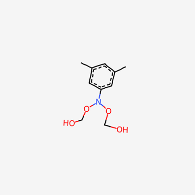 Cc1cc(C)cc(N(OCO)OCO)c1